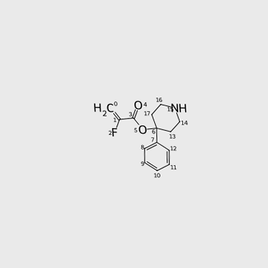 C=C(F)C(=O)OC1(c2ccccc2)CCNCC1